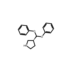 c1ccc(OC(Oc2ccccc2)[C@H]2CCNC2)cc1